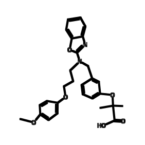 COc1ccc(OCCCN(Cc2cccc(OC(C)(C)C(=O)O)c2)c2nc3ccccc3o2)cc1